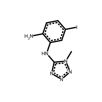 Cn1nnnc1Nc1cc(I)ccc1N